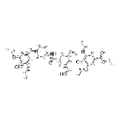 CCOC(=O)c1cc(OCC)c(Cl)c(OCC)c1.CCOc1cc(CN2CCC(NC(=O)c3cc(CO)cc(OC)c3)CC2)cc(OCC)c1Cl